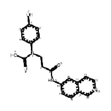 O=C(CCN(C(=O)O)c1ccc(O)cc1)Nc1ccc2cnccc2c1